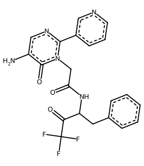 Nc1cnc(-c2cccnc2)n(CC(=O)NC(Cc2ccccc2)C(=O)C(F)(F)F)c1=O